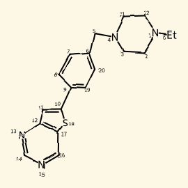 CCN1CCN(Cc2ccc(-c3cc4ncn[c]c4s3)cc2)CC1